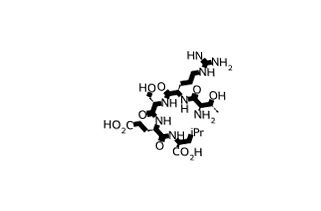 CC(C)C[C@H](NC(=O)[C@H](CCC(=O)O)NC(=O)[C@H](CO)NC(=O)[C@H](CCCNC(=N)N)NC(=O)[C@@H](N)[C@@H](C)O)C(=O)O